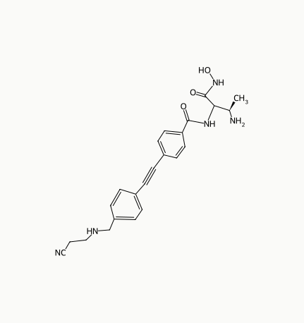 C[C@@H](N)C(NC(=O)c1ccc(C#Cc2ccc(CNCCC#N)cc2)cc1)C(=O)NO